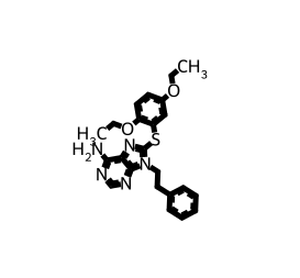 CCOc1ccc(OCC)c(Sc2nc3c(N)ncnc3n2CCc2ccccc2)c1